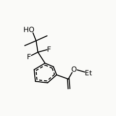 C=C(OCC)c1cccc(C(F)(F)C(C)(C)O)c1